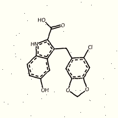 O=C(O)c1[nH]c2ccc(O)cc2c1Cc1cc2c(cc1Cl)OCO2